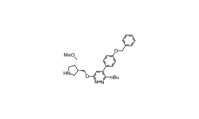 CCCCc1nnc(OC[C@H]2CNC[C@@H]2COC)cc1-c1ccc(OCc2ccccc2)cc1